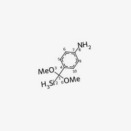 COC([SiH3])(OC)c1ccc(N)cc1